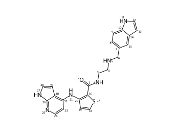 O=C(NCCNCc1ccc2[nH]ccc2c1)c1sccc1Nc1ccnc2[nH]ccc12